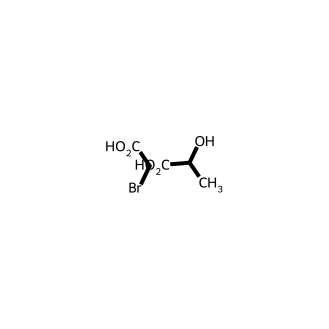 CC(O)C(=O)O.O=C(O)CBr